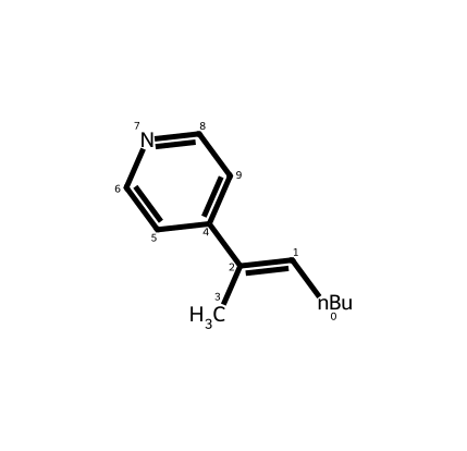 CCCCC=C(C)c1ccncc1